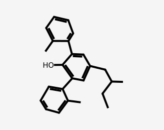 CCC(C)Cc1cc(-c2ccccc2C)c(O)c(-c2ccccc2C)c1